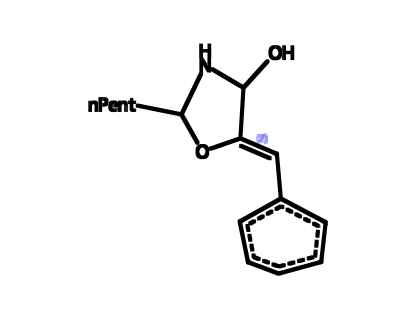 CCCCCC1NC(O)/C(=C/c2ccccc2)O1